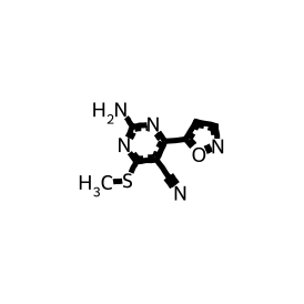 CSc1nc(N)nc(-c2ccno2)c1C#N